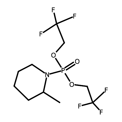 CC1CCCCN1P(=O)(OCC(F)(F)F)OCC(F)(F)F